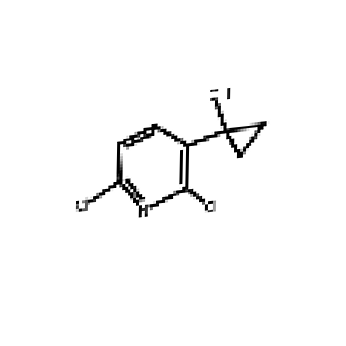 OC1(c2ccc(Cl)nc2Cl)CC1